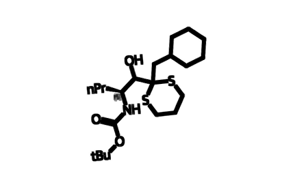 CCC[C@H](NC(=O)OC(C)(C)C)C(O)C1(CC2CCCCC2)SCCCS1